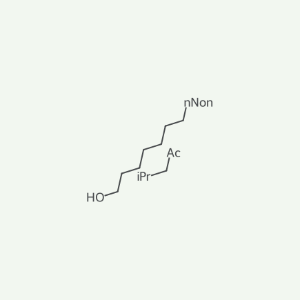 CC(=O)CC(C)C.CCCCCCCCCCCCCCCCO